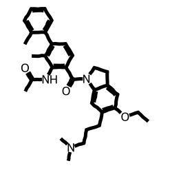 CCOc1cc2c(cc1CCCN(C)C)N(C(=O)c1ccc(-c3ccccc3C)c(C)c1NC(C)=O)CC2